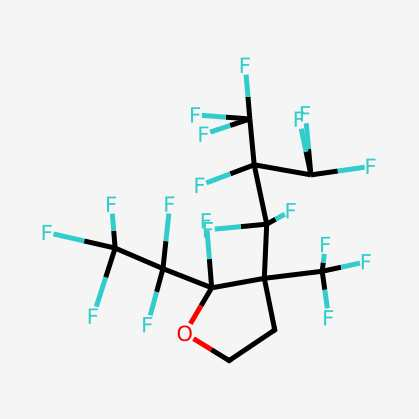 FC(F)(F)C(F)(F)C1(F)OCCC1(C(F)(F)F)C(F)(F)C(F)(C(F)(F)F)C(F)(F)F